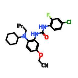 CC(C)CN(c1ccc(OCC#N)cc1NC(=O)Nc1ccc(Cl)cc1F)C1CCCCC1